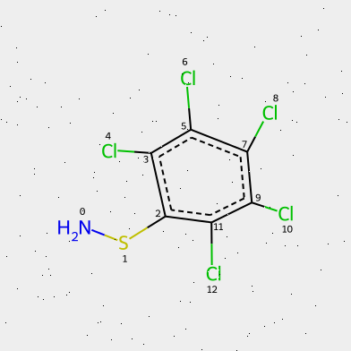 NSc1c(Cl)c(Cl)c(Cl)c(Cl)c1Cl